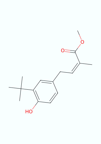 COC(=O)C(C)=CCc1ccc(O)c(C(C)(C)C)c1